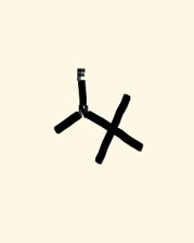 CN(F)C(C)(C)C